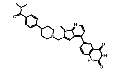 CN(C)C(=O)c1ccc(C2CCN(Cc3cc4c(-c5ccc6[nH]c(=O)[nH]c(=O)c6c5)ccnc4n3C)CC2)cc1